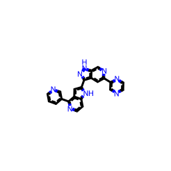 c1cncc(-c2nccc3[nH]c(-c4n[nH]c5cnc(-c6cnccn6)cc45)cc23)c1